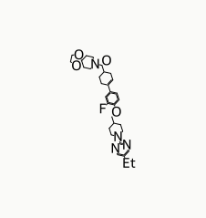 CCc1cnc(N2CCC(COc3ccc(C4=CCC(C(=O)N5CCC6(CC5)OCCO6)CC4)cc3F)CC2)nc1